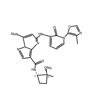 CNc1cc(Nc2cccn(-c3ocnc3C)c2=O)nc2c(C(=O)N[C@H]3CC[C@]3(C)OC)cnn12